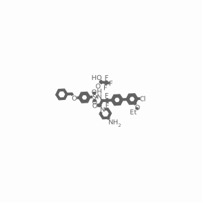 CCOc1cc(-c2ccc(C(F)(F)[C@H](NS(=O)(=O)c3ccc(OCC4CCCCC4)cc3)C(=O)N3CCC(N)CC3)cc2)ccc1Cl.O=C(O)C(F)(F)F